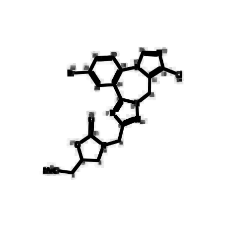 COCC1CN(Cc2nc3n(n2)Cc2c(Cl)ncn2-c2ccc(Br)cc2-3)C(=O)O1